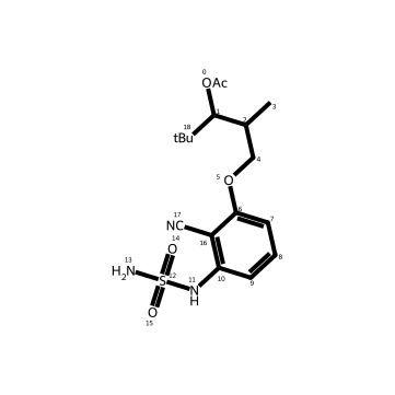 CC(=O)OC(C(C)COc1cccc(NS(N)(=O)=O)c1C#N)C(C)(C)C